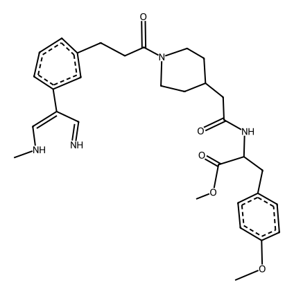 CN/C=C(\C=N)c1cccc(CCC(=O)N2CCC(CC(=O)NC(Cc3ccc(OC)cc3)C(=O)OC)CC2)c1